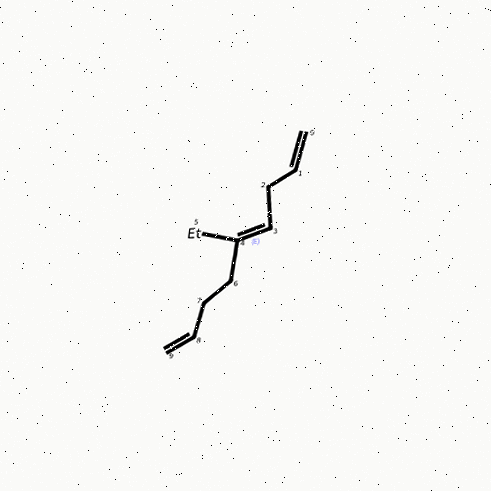 C=CC/C=C(\CC)CCC=C